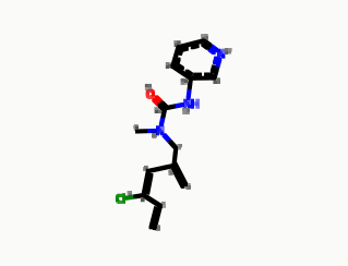 C=C/C(Cl)=C\C(=C)CN(C)C(=O)Nc1cccnc1